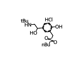 CCCCS(=O)(=O)Cc1cc(C(O)CNC(C)(C)C)ccc1O.Cl